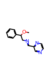 COC(CN=Cc1cnccn1)c1ccccc1